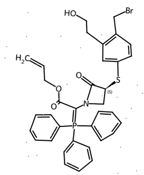 C=CCOC(=O)C(N1C[C@H](Sc2ccc(CBr)c(CCO)c2)C1=O)=P(c1ccccc1)(c1ccccc1)c1ccccc1